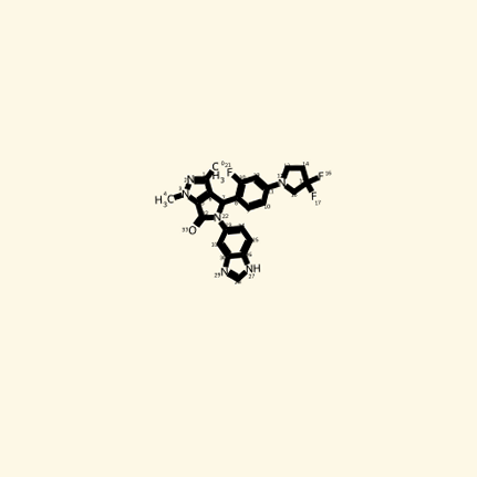 Cc1nn(C)c2c1C(c1ccc(N3CCC(F)(F)C3)cc1F)N(c1ccc3[nH]cnc3c1)C2=O